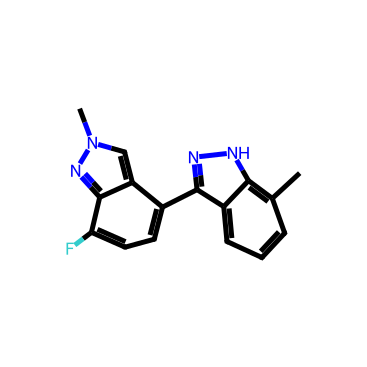 Cc1cccc2c(-c3ccc(F)c4nn(C)cc34)n[nH]c12